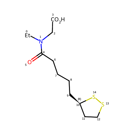 CCN(CC(=O)O)C(=O)CCCC[C@@H]1CCSS1